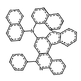 c1ccc(-c2nc3ccccc3c3c2cc(N(c2cccc4ccccc24)c2cccc4ccccc24)c2sc4ccccc4c23)cc1